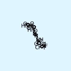 O=C1CCC(N2Cc3c(NC(=O)CN4CCN(CCNC=C5C(=O)CC(c6c(Cl)ccc(C(F)(F)F)c6Cl)CC5=O)CC4)cccc3C2=O)C(=O)N1